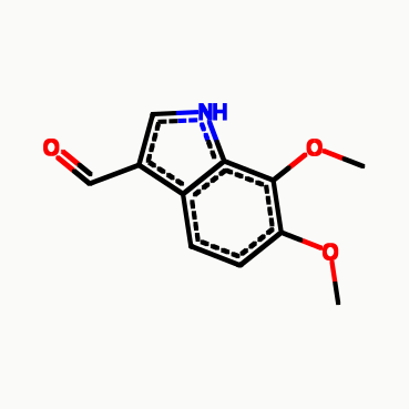 COc1ccc2c(C=O)c[nH]c2c1OC